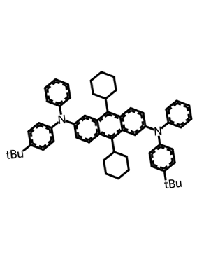 CC(C)(C)c1ccc(N(c2ccccc2)c2ccc3c(C4CCCCC4)c4cc(N(c5ccccc5)c5ccc(C(C)(C)C)cc5)ccc4c(C4CCCCC4)c3c2)cc1